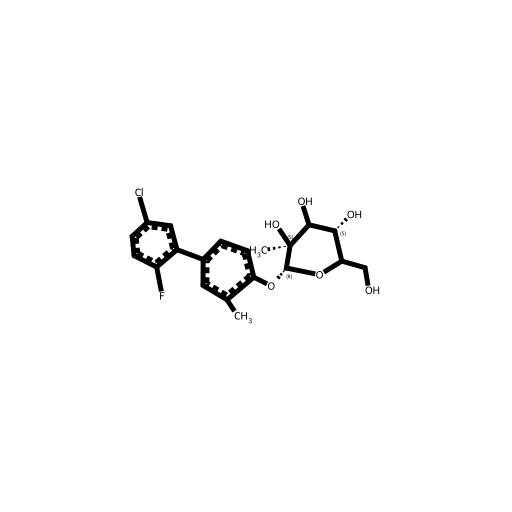 Cc1cc(-c2cc(Cl)ccc2F)ccc1O[C@H]1OC(CO)[C@@H](O)C(O)[C@]1(C)O